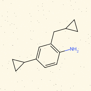 Nc1ccc(C2CC2)cc1CC1CC1